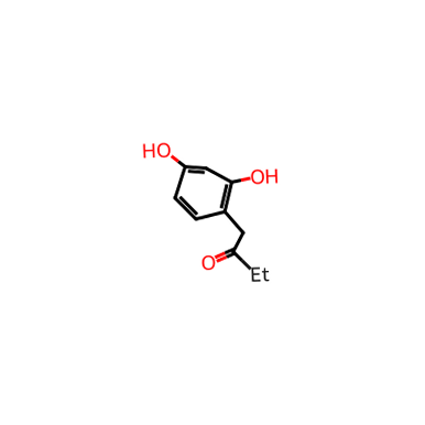 CCC(=O)Cc1ccc(O)cc1O